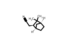 CC1(C)[C@H]2CC[C@H](C2)[C@H]1CC#N